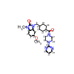 COc1ccc2c(c1)n(CC1CCC(C(=O)N3CCN(c4ncccn4)CC3)CC1)c(=O)n2C